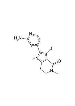 CN1CCc2[nH]c(-c3ccnc(N)n3)c(I)c2C1=O